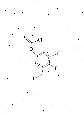 FCc1cc(OC(=S)Cl)cc(F)c1F